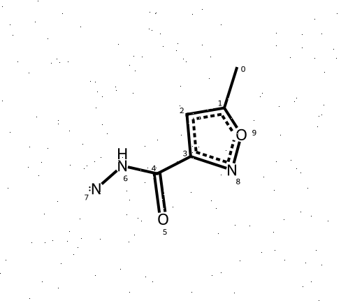 Cc1cc(C(=O)N[N])no1